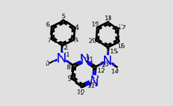 CN(c1ccccc1)c1ccnc(N(C)c2ccccc2)n1